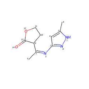 CC(=Nc1cc(C)[nH]n1)C1CCOC1=O